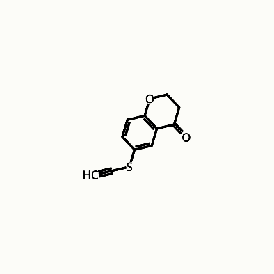 C#CSc1ccc2c(c1)C(=O)CCO2